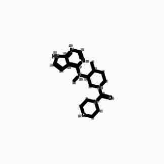 CC1CCN(C(=O)N2CCOCC2)CC1N(C)c1ncnc2[nH]ccc12